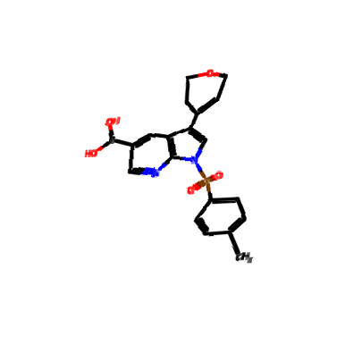 Cc1ccc(S(=O)(=O)n2cc(C3=CCOCC3)c3cc(B(O)O)cnc32)cc1